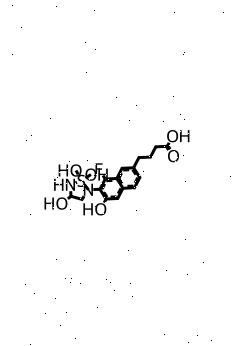 O=C(O)CCCc1ccc2cc(O)c(N3CC(O)NS3(O)O)c(F)c2c1